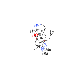 COc1ccc2c(c1CC1CC1)[C@]13CCN[C@H](C2)[C@]1(O)Cc1c(nn(C(C)(C)C)c1C)C3